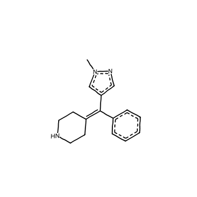 Cn1cc(C(=C2CCNCC2)c2ccccc2)cn1